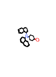 O=C1CCC(N(c2cccc3ccccc23)c2cccc3ccccc23)CC1